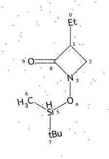 CCC1CN(O[SiH](C)C(C)(C)C)C1=O